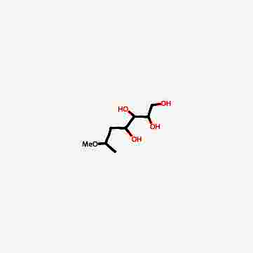 COC(C)CC(O)C(O)C(O)CO